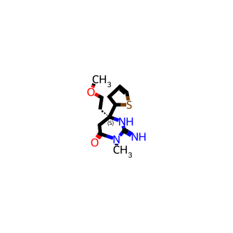 COCC[C@@]1(C2CC=CS2)CC(=O)N(C)C(=N)N1